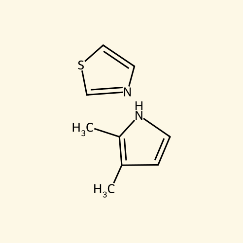 Cc1cc[nH]c1C.c1cscn1